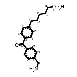 NCc1ccc(C(=O)c2ccc(CCCCCC(=O)O)cc2)cc1